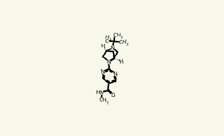 CNC(=O)c1cnc(N2C[C@@H]3C[C@H]2CN3C(C)(C)C)nc1